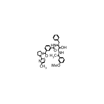 COc1cccc([C@H](C)NC[C@H](O)[C@H](Cc2ccccc2)NC(=O)c2cccc(C(=O)N3CCC[C@@H]3c3nc(C)cs3)c2)c1